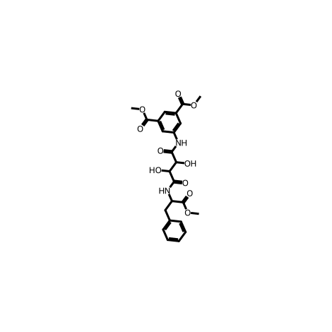 COC(=O)c1cc(NC(=O)C(O)C(O)C(=O)NC(Cc2ccccc2)C(=O)OC)cc(C(=O)OC)c1